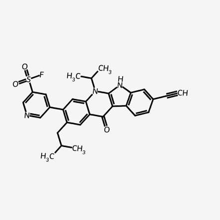 C#Cc1ccc2c(c1)[nH]c1c2c(=O)c2cc(CC(C)C)c(-c3cncc(S(=O)(=O)F)c3)cc2n1C(C)C